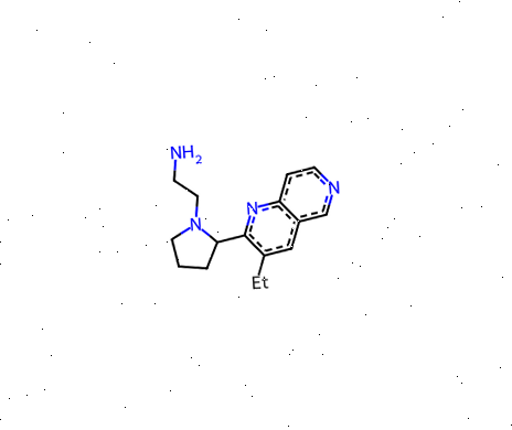 CCc1cc2cnccc2nc1C1CCCN1CCN